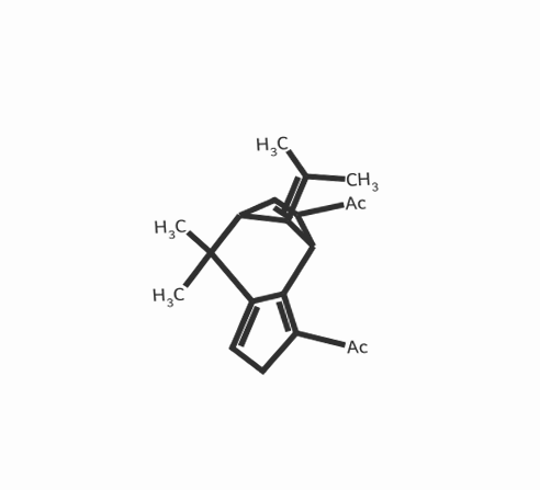 CC(=O)C1=CC2C(=C(C)C)C1C1=C(C(C)=O)CC=C1C2(C)C